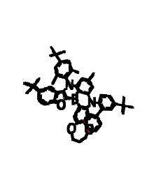 Cc1cc2c3c(c1)N(c1c(C)cc(C(C)(C)C)cc1C)c1c(oc4ccc(C(C)(C)C)cc14)B3c1cc3c(cc1N2c1ccc(C(C)(C)C)cc1-c1ccccc1)OCCCO3